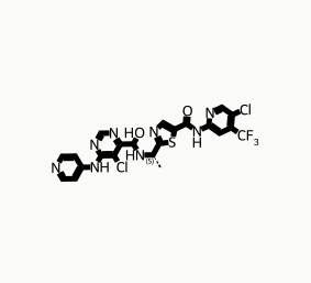 C[C@H](NC(O)c1ncnc(Nc2ccncc2)c1Cl)c1ncc(C(=O)Nc2cc(C(F)(F)F)c(Cl)cn2)s1